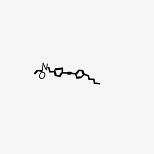 C=CC(=O)N(C)CCc1ccc(C#Cc2ccc(CCCCC)cc2)cc1